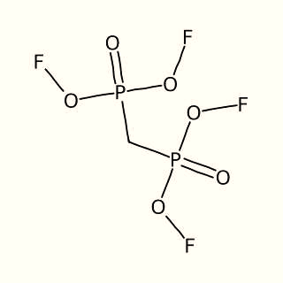 O=P(CP(=O)(OF)OF)(OF)OF